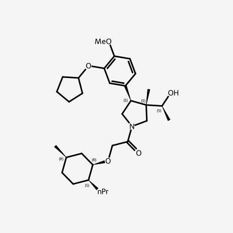 CCC[C@H]1CC[C@@H](C)C[C@H]1OCC(=O)N1C[C@@H](c2ccc(OC)c(OC3CCCC3)c2)[C@](C)([C@H](C)O)C1